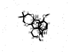 COC1=C2OC34OCC(C)(C)CO[C@H]3CCC3(O)[C@H]5CC(C=C1)C2[C@]34CCN5C